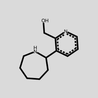 OCc1ncccc1C1CCCCCN1